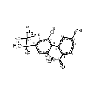 N#Cc1ccc(C(N)=O)c(-c2c(Cl)cc(C(F)(C(F)(F)F)C(F)(F)C(F)(F)F)cc2Br)c1